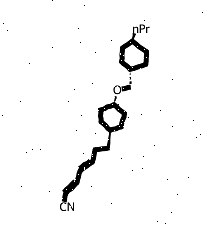 CCC[C@H]1CC[C@H](CO[C@H]2CC[C@H](CCC=CC=CC#N)CC2)CC1